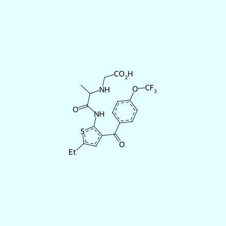 CCc1cc(C(=O)c2ccc(OC(F)(F)F)cc2)c(NC(=O)C(C)NCC(=O)O)s1